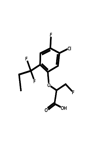 CCC(F)(F)c1cc(F)c(Cl)cc1OC(CF)C(=O)O